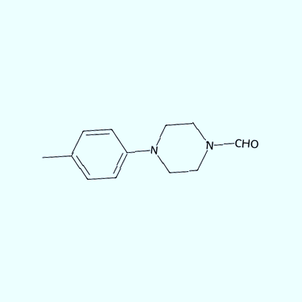 Cc1ccc(N2CCN(C=O)CC2)cc1